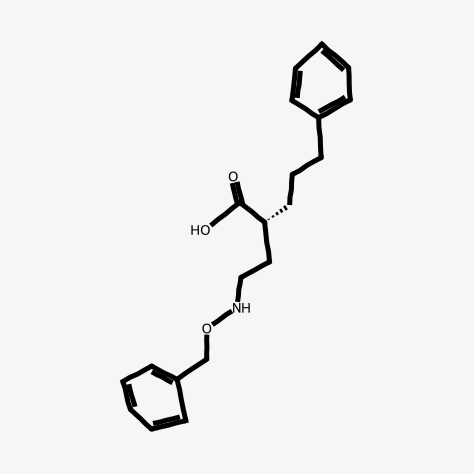 O=C(O)[C@H](CCCc1ccccc1)CCNOCc1ccccc1